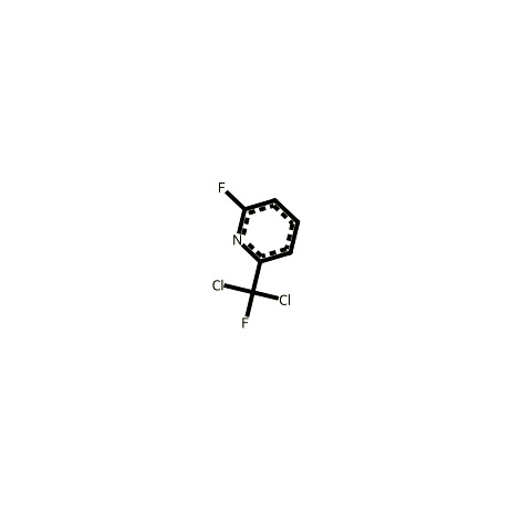 Fc1cccc(C(F)(Cl)Cl)n1